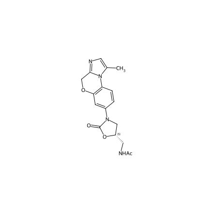 CC(=O)NC[C@H]1CN(c2ccc3c(c2)OCc2ncc(C)n2-3)C(=O)O1